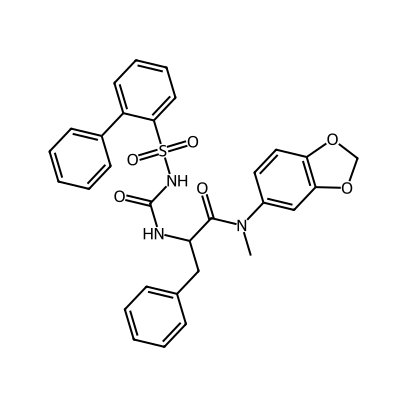 CN(C(=O)C(Cc1ccccc1)NC(=O)NS(=O)(=O)c1ccccc1-c1ccccc1)c1ccc2c(c1)OCO2